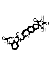 CN1C(=O)NC(=O)[C@]12Cc1cc3ccc(Cn4c(=O)n5c6c(cccc64)NC(=O)C5)nc3cc1C2